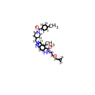 Cc1ccc(C(=O)N2CCC(Cn3cc4c(C)c(C(=O)NCCOCC5CC5)ccc4n3)CC2)cc1